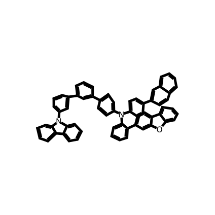 c1cc(-c2ccc(N(c3ccc(-c4ccc5ccccc5c4)cc3)c3ccccc3-c3ccc4c(c3)oc3ccccc34)cc2)cc(-c2cccc(-n3c4ccccc4c4ccccc43)c2)c1